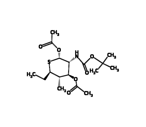 CC[C@H]1S[C@H](OC(C)=O)[C@H](NC(=O)OC(C)(C)C)[C@@H](OC(C)=O)[C@@H]1C